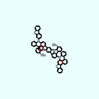 CC(C)(C)c1cccc2c3c(N(c4ccc5c(c4)sc4ccccc45)c4ccccc4-c4ccccc4)ccc4c5cc6c(cc5n(c12)c43)c1ccc(N(c2ccc3c(c2)sc2ccccc23)c2ccccc2-c2ccccc2)c2c3cccc(C(C)(C)C)c3n6c12